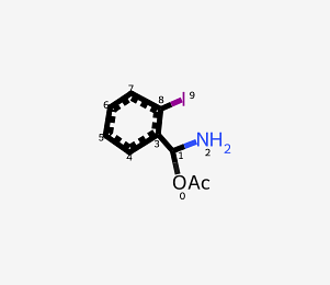 CC(=O)OC(N)c1ccccc1I